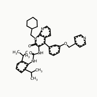 CC(C)c1cccc(C(C)C)c1NC(=O)Nc1c(-c2cccc(OCc3ccncc3)c2)c2cccnc2n(CC2CCCCC2)c1=O